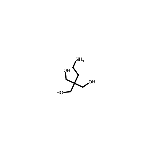 OCC(CO)(CO)CC[SiH3]